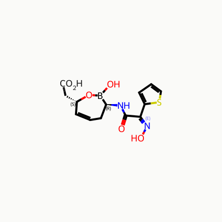 O=C(O)C[C@H]1C=CC[C@H](NC(=O)/C(=N\O)c2cccs2)B(O)O1